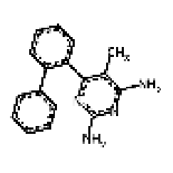 Cc1c(N)nc(N)nc1-c1ccccc1-c1ccccc1